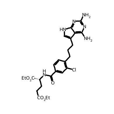 CCOC(=O)CC[C@@H](NC(=O)c1ccc(CCCc2c[nH]c3nc(N)nc(N)c23)c(Cl)c1)C(=O)OCC